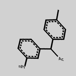 C[CH]Cc1cccc(C(C(C)=O)c2ccc(C)cc2)c1